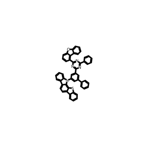 c1ccc(-c2cc(-c3nc(-c4ccccc4)nc(-c4cccc5oc6ccccc6c45)n3)cc(-n3c4ccccc4c4ccc5c6ccccc6sc5c43)c2)cc1